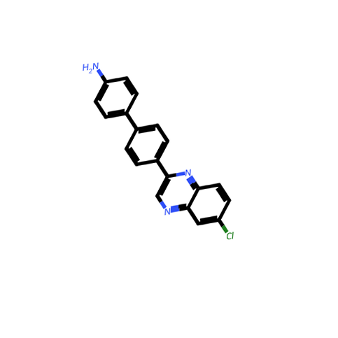 Nc1ccc(-c2ccc(-c3cnc4cc(Cl)ccc4n3)cc2)cc1